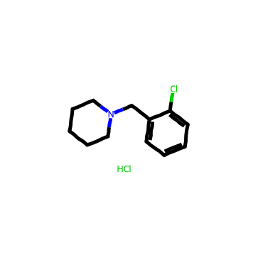 Cl.Clc1ccccc1CN1CCCCC1